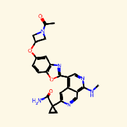 CNc1ncc(-c2nc3cc(OC4CN(C(C)=O)C4)ccc3o2)c2cc(C3(C(N)=O)CC3)ncc12